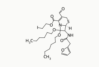 CCCCCCOC1(OCCCCCC)C(NC(=O)Cc2ccco2)[C@@H]2SCC(C=O)=C(C(=O)OCCI)N21